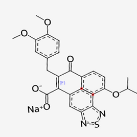 COc1ccc(C/C(C(=O)c2ccc(OC(C)C)cc2)=C(\C(=O)[O-])c2ccc3nsnc3c2)cc1OC.[Na+]